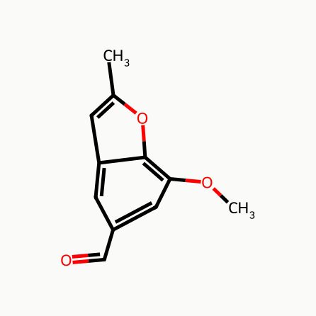 COc1cc(C=O)cc2cc(C)oc12